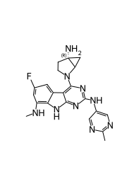 CNc1cc(F)cc2c1[nH]c1nc(Nc3cnc(C)nc3)nc(N3CC[C@@]4(N)CC34)c12